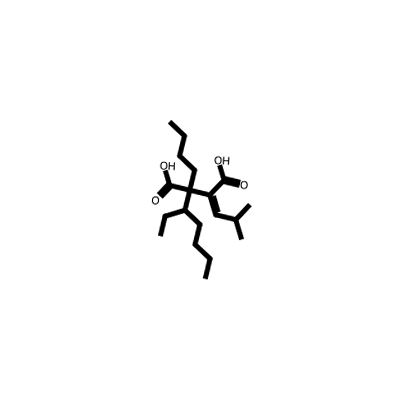 CCCCC(CC)C(CCCC)(C(=O)O)C(=CC(C)C)C(=O)O